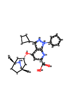 CN1[C@@H]2CC[C@H]1C[C@@H](Oc1cc(C(=O)O)nc3c1c(C1CCC1)nn3-c1ccccc1)C2